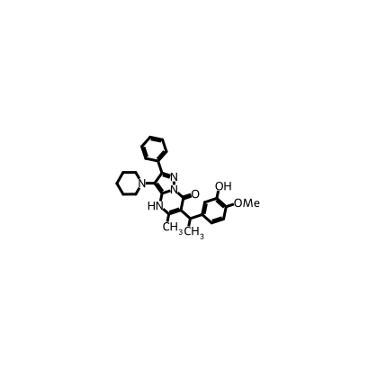 COc1ccc(C(C)c2c(C)[nH]c3c(N4CCCCC4)c(-c4ccccc4)nn3c2=O)cc1O